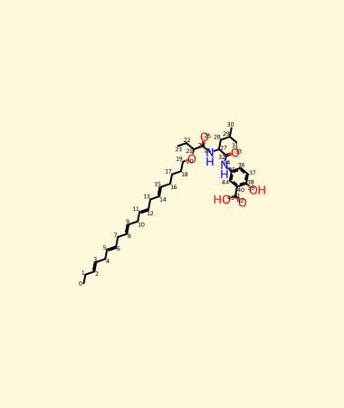 CCC=CCC=CCC=CCC=CCC=CCCCCOC(CC)C(=O)NC(CC(C)C)C(=O)Nc1ccc(O)c(C(=O)O)c1